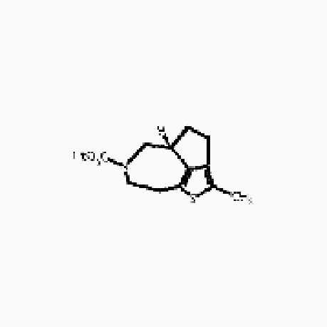 CCOC(=O)N1CCc2sc(C)c3c2[C@@H](CC3)C1